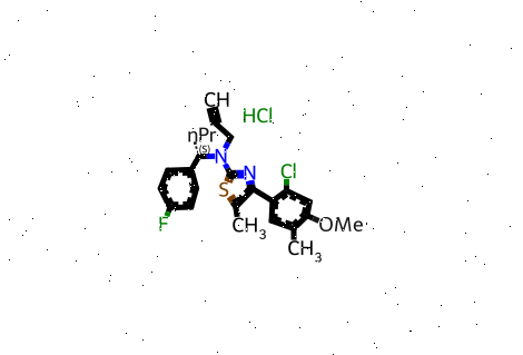 C#CCN(c1nc(-c2cc(C)c(OC)cc2Cl)c(C)s1)[C@@H](CCC)c1ccc(F)cc1.Cl